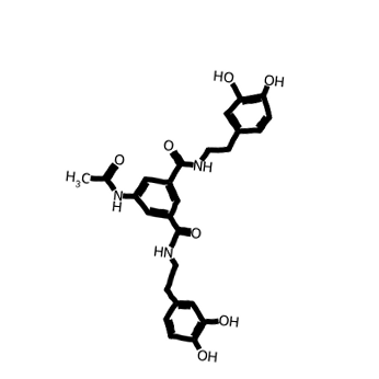 CC(=O)Nc1cc(C(=O)NCCc2ccc(O)c(O)c2)cc(C(=O)NCCc2ccc(O)c(O)c2)c1